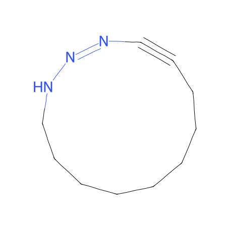 C1#CN=NNCCCCCCCC1